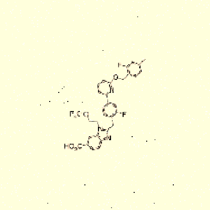 Cc1ccc(COc2cccc(-c3ccc(Cc4nc5ccc(C(=O)O)cc5n4CCOC(F)(F)F)c(F)c3)n2)c(F)c1